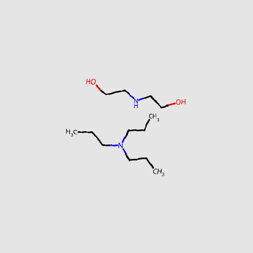 CCCN(CCC)CCC.OCCNCCO